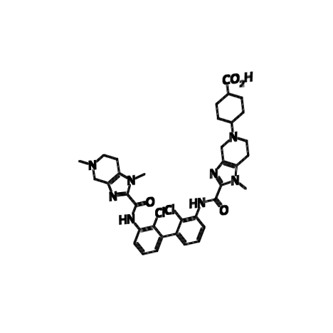 CN1CCc2c(nc(C(=O)Nc3cccc(-c4cccc(NC(=O)c5nc6c(n5C)CCN(C5CCC(C(=O)O)CC5)C6)c4Cl)c3Cl)n2C)C1